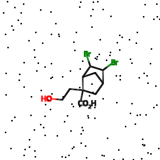 O=C(O)C1(CCO)CC2CC1C(Br)C2Br